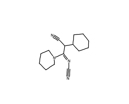 N#CN=C(C(C#N)C1CCCCC1)N1CCCCC1